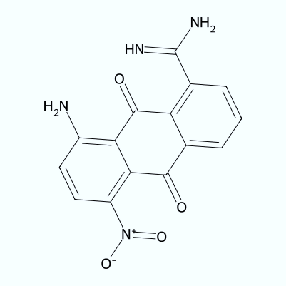 N=C(N)c1cccc2c1C(=O)c1c(N)ccc([N+](=O)[O-])c1C2=O